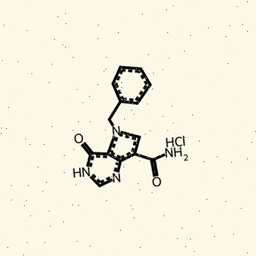 Cl.NC(=O)c1cn(Cc2ccccc2)c2c(=O)[nH]cnc12